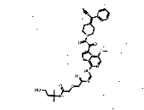 COc1cnc(N/C=N\C(=N)COCC(=O)NC(C)(C)CCO)c2[nH]cc(C(=O)C(=O)N3CCC(=C(C#N)c4ccccc4)CC3)c12